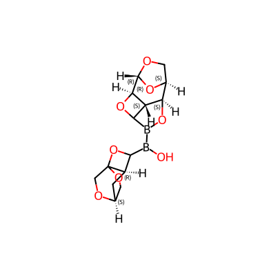 OB(B1O[C@H]2[C@@H]3C1O[C@H]3[C@@H]1OC[C@@H]2O1)C1OC23CO[C@H](CO2)C[C@H]13